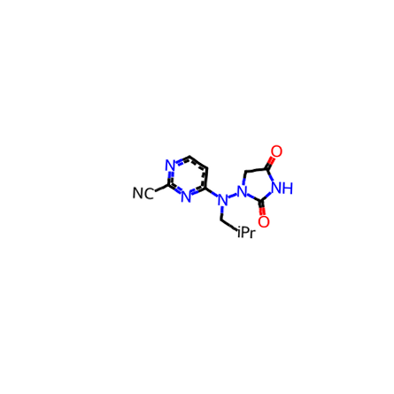 CC(C)CN(c1ccnc(C#N)n1)N1CC(=O)NC1=O